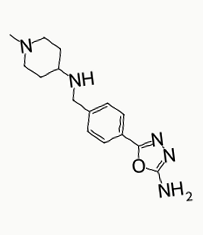 CN1CCC(NCc2ccc(-c3nnc(N)o3)cc2)CC1